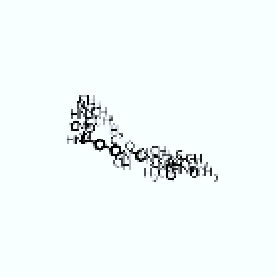 COC(=O)N[C@H](C(=O)N1CCC[C@H]1c1nc(-c2ccc(-c3cc(Cl)c(NC(=O)c4ccc(N5CCN(C(=O)[C@]6(C)CCCN6C(=O)[C@@H](NC(=O)OC)C(C)C)C[C@H]5C)nc4)cc3C)cc2)c[nH]1)C(C)C